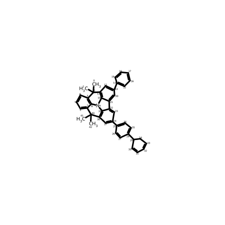 CC1(C)c2cccc3c2-n2c4c1cc(-c1ccccc1)cc4c1cc(-c4ccc(C5C=CC=CC5)cc4)cc(c12)C3(C)C